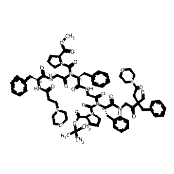 COC(=O)C1CCCN1C(=O)N(C(=O)CNC(=O)[C@H](Cc1ccccc1)NC(=O)CCN1CCOCC1)[C@@H](Cc1ccccc1)C(=O)NCC(=O)N(C(=O)N1CCCC1C(=O)OC(C)(C)C)[C@@H](Cc1ccccc1)C(=O)NCC(=O)C([C]=O)(CC(=O)N1CCOCC1)Cc1ccccc1